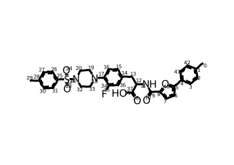 Cc1ccc(-c2ccc(C(=O)NC(Cc3ccc(N4CCN(S(=O)(=O)c5ccc(C)cc5)CC4)c(F)c3)C(=O)O)o2)cc1